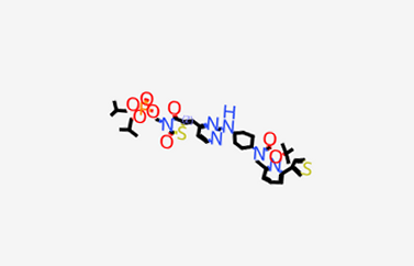 CC(C)COP(=O)(OCC(C)C)OCN1C(=O)S/C(=C\c2ccnc(N[C@H]3CC[C@H](N(Cc4cccc(-c5ccsc5)n4)C(=O)OC(C)(C)C)CC3)n2)C1=O